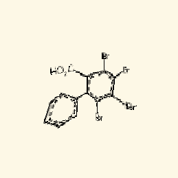 O=C(O)c1c(Br)c(Br)c(Br)c(Br)c1-c1ccccc1